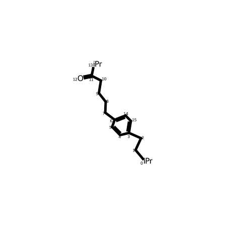 CC(C)CCc1ccc(CCCCC(=O)C(C)C)cc1